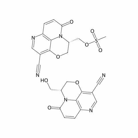 CS(=O)(=O)OC[C@@H]1COc2c(C#N)cnc3ccc(=O)n1c23.N#Cc1cnc2ccc(=O)n3c2c1OC[C@H]3CO